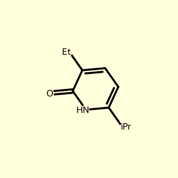 CCc1ccc(C(C)C)[nH]c1=O